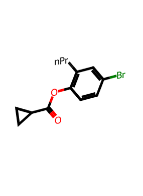 CCCc1cc(Br)ccc1OC(=O)C1CC1